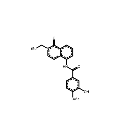 COc1ccc(C(=O)Nc2cccc3c(=O)n(CC(C)(C)C)ccc23)cc1O